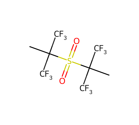 CC(C(F)(F)F)(C(F)(F)F)S(=O)(=O)C(C)(C(F)(F)F)C(F)(F)F